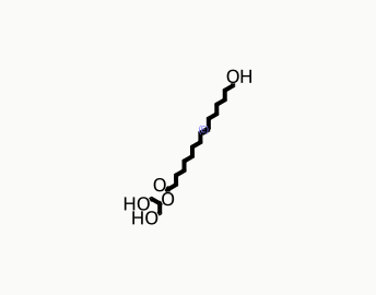 O=C(CCCCCCC/C=C/CCCCCCO)OC(CO)CO